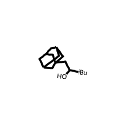 CCC(C)C(O)CC12CC3CC(CC(C3)C1)C2